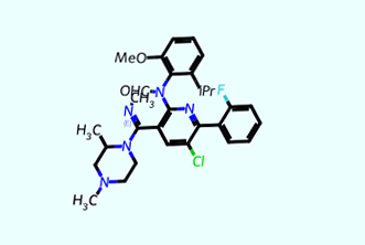 C/N=C(\c1cc(Cl)c(-c2ccccc2F)nc1N(C=O)c1c(OC)cccc1C(C)C)N1CCN(C)CC1C